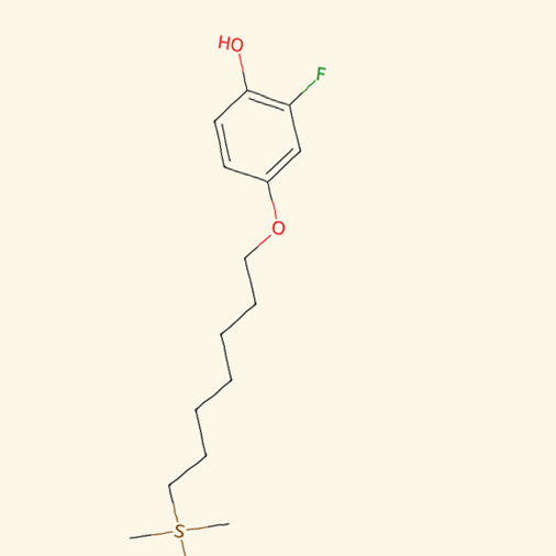 CS(C)(C)CCCCCCCOc1ccc(O)c(F)c1